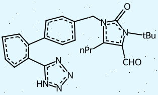 CCCc1c(C=O)n(C(C)(C)C)c(=O)n1Cc1ccc(-c2ccccc2-c2nnn[nH]2)cc1